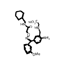 COc1cccc(C(=NOCC(=O)NCC2CCCCC2)c2ccc(N)c(CNCC(=O)O)c2)c1